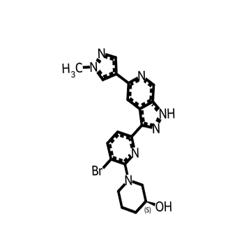 Cn1cc(-c2cc3c(-c4ccc(Br)c(N5CCC[C@H](O)C5)n4)n[nH]c3cn2)cn1